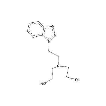 OCCN(CCO)CCn1nnc2ccccc21